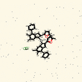 Cc1ccc(C2=Cc3c(cc(C)c(C)c3-c3ccccc3)[CH]2[Zr+2][CH]2C(c3ccc(C)o3)=Cc3c2cc(C)c(C)c3-c2ccccc2)o1.[Cl-].[Cl-]